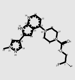 C[C@H](F)COC(=O)N1CCN(c2ccnc3[nH]c(-c4cnn(C)c4)cc23)CC1